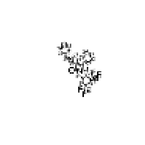 O=C(NCc1cc(C(F)(F)F)cc(C(F)(F)F)c1)C1(Cc2ccccc2)CCN(CC2CCOCC2)C1